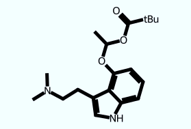 CC(OC(=O)C(C)(C)C)Oc1cccc2[nH]cc(CCN(C)C)c12